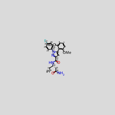 COc1cccc(OC)c1-c1cc(C(=O)N[C@H](CC(N)=O)CC(C)C)nn1-c1ccc(F)cc1